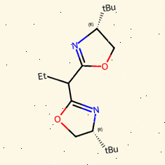 CCC(C1=N[C@H](C(C)(C)C)CO1)C1=N[C@H](C(C)(C)C)CO1